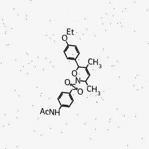 CCOc1ccc(C2ON(S(=O)(=O)c3ccc(NC(C)=O)cc3)C(C)C=C2C)cc1